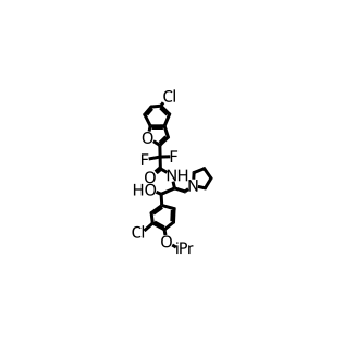 CC(C)Oc1ccc(C(O)C(CN2CCCC2)NC(=O)C(F)(F)c2cc3cc(Cl)ccc3o2)cc1Cl